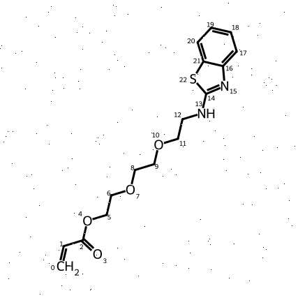 C=CC(=O)OCCOCCOCCNc1nc2ccccc2s1